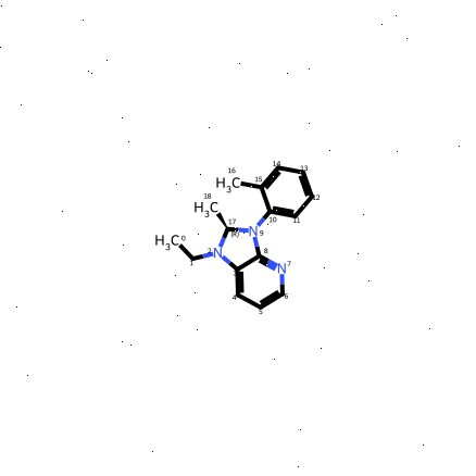 CCN1c2cccnc2N(c2ccccc2C)[C@@H]1C